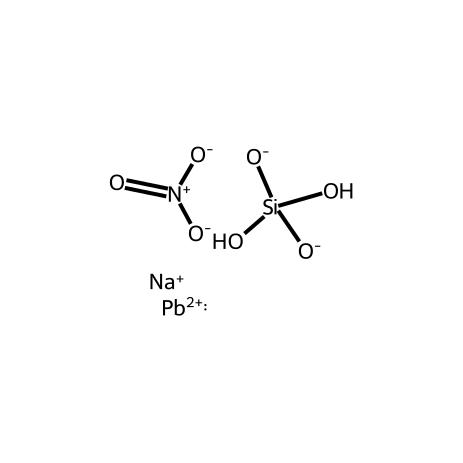 O=[N+]([O-])[O-].[Na+].[O-][Si]([O-])(O)O.[Pb+2]